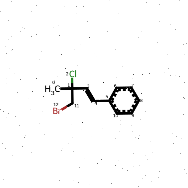 CC(Cl)(/C=C/c1ccccc1)CBr